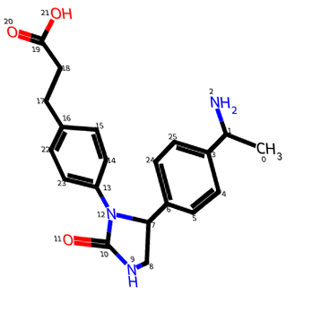 CC(N)c1ccc(C2CNC(=O)N2c2ccc(CCC(=O)O)cc2)cc1